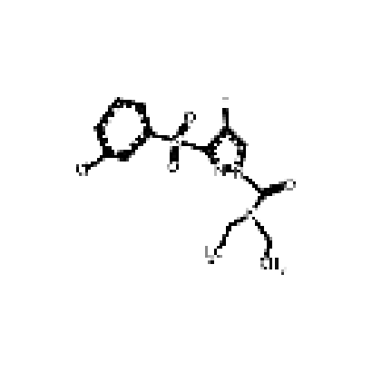 CCN(CC)C(=O)n1cc(F)c(S(=O)(=O)c2cccc(Cl)c2)n1